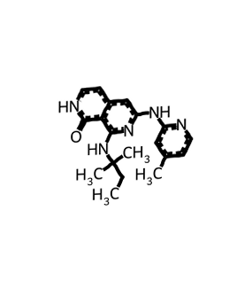 CCC(C)(C)Nc1nc(Nc2cc(C)ccn2)cc2cc[nH]c(=O)c12